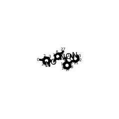 Cc1ccc(OC2CC3CC2N(C(=O)c2ccccc2-c2cccnn2)C3C)nc1